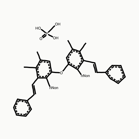 CCCCCCCCCc1c(Oc2cc(C)c(C)c(C=Cc3ccccc3)c2CCCCCCCCC)cc(C)c(C)c1C=Cc1ccccc1.O=P(O)(O)O